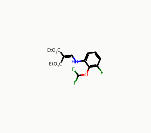 CCOC(=O)C(=CNc1cccc(F)c1OC(F)F)C(=O)OCC